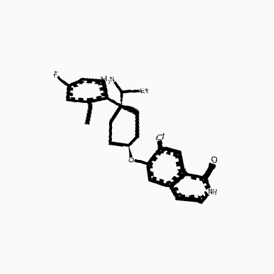 CCC(N)[C@]1(c2ccc(F)cc2C)CC[C@H](Oc2cc3cc[nH]c(=O)c3cc2Cl)CC1